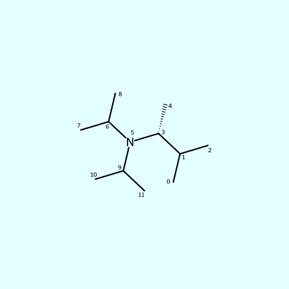 CC(C)[C@@H](C)N(C(C)C)C(C)C